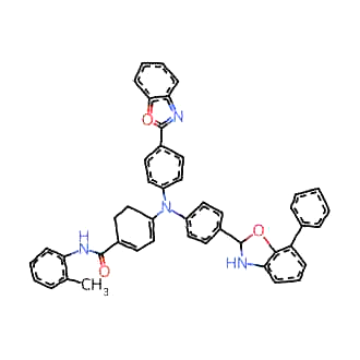 Cc1ccccc1NC(=O)C1=CC=C(N(c2ccc(-c3nc4ccccc4o3)cc2)c2ccc(C3Nc4cccc(-c5ccccc5)c4O3)cc2)CC1